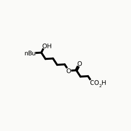 CCCCC(O)CCCCOC(=O)CCC(=O)O